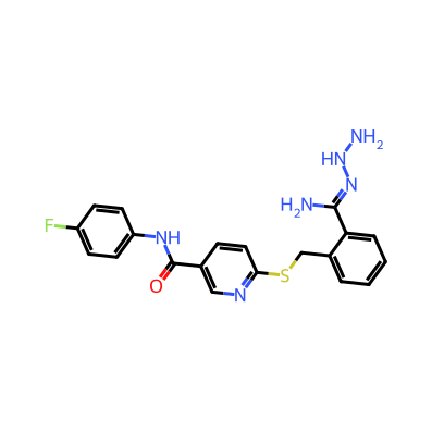 NN/N=C(\N)c1ccccc1CSc1ccc(C(=O)Nc2ccc(F)cc2)cn1